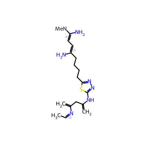 C=C(CC(=C)Nc1nnc(CCCC/C(N)=C/C=C(\N)NC)s1)/N=C\C